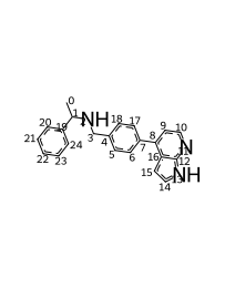 CC(NCc1ccc(-c2ccnc3[nH]ccc23)cc1)c1ccccc1